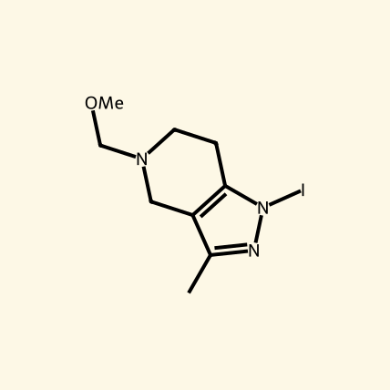 COCN1CCc2c(c(C)nn2I)C1